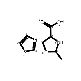 CC1NC(C(=O)O)CO1.c1cscn1